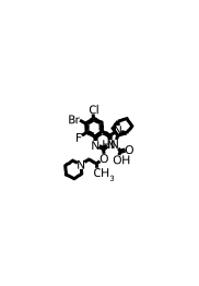 CC(CN1CCCCC1)Oc1nc(N2C3CCC2C(NC(=O)O)C3)c2cc(Cl)c(Br)c(F)c2n1